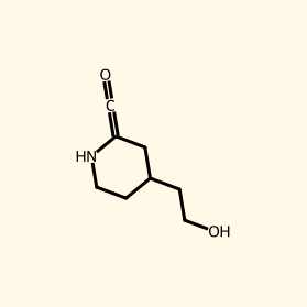 O=C=C1CC(CCO)CCN1